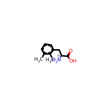 Cc1cccc(C[C@H](N)C(=O)O)c1C